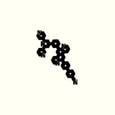 N#Cc1ccc(-c2ccc(-c3cc4c5cccnc5c(-c5cccc(-c6cc(-c7ccncc7)nc(-c7cccnc7)c6)c5)cc4c4cccnc34)cc2)cc1